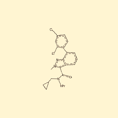 CCCN(CC1CC1)C(=O)c1c2cccc(-c3ccc(Cl)cc3Cl)c2nn1C